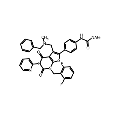 CNC(=O)Nc1ccc(-c2sc3c(c2CN(C)Cc2ccccc2)c(=O)n(-c2ccccn2)c(=O)n3Cc2c(F)cccc2F)cc1